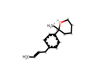 CC=CCc1ccc(C2([SiH3])CCCCO2)cc1